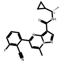 Cc1cc(-c2cccc(F)c2C#N)nc2c(C(=O)N[C@@H](C)C3CC3)cnn12